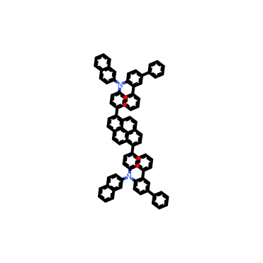 c1ccc(-c2ccc(N(c3ccc(-c4ccc5ccc6c(-c7ccc(N(c8ccc9ccccc9c8)c8ccc(-c9ccccc9)cc8-c8ccccc8)cc7)ccc7ccc4c5c76)cc3)c3ccc4ccccc4c3)c(-c3ccccc3)c2)cc1